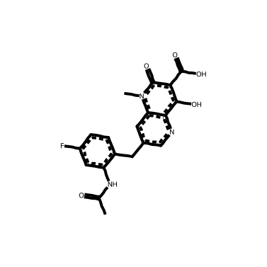 CC(=O)Nc1cc(F)ccc1Cc1cnc2c(O)c(C(=O)O)c(=O)n(C)c2c1